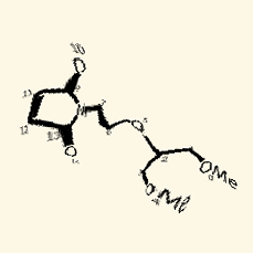 COCC(COC)OCCN1C(=O)C=CC1=O